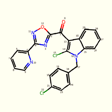 O=C(c1nc(-c2ccccn2)no1)c1c(Cl)n(Cc2ccc(Cl)cc2)c2ccccc12